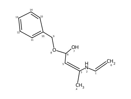 C=CN/C(C)=C\C(O)OCc1ccccc1